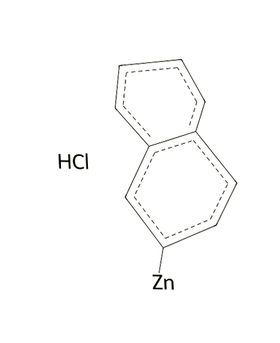 Cl.[Zn][c]1ccc2ccccc2c1